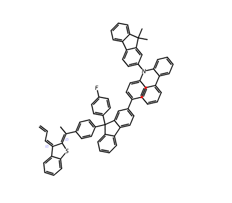 C=C/C=c1\c(=C(/C)c2ccc(C3(c4ccc(F)cc4)c4ccccc4-c4ccc(-c5ccc(N(c6ccc7c(c6)C(C)(C)c6ccccc6-7)c6ccccc6-c6ccccc6)cc5)cc43)cc2)sc2ccccc12